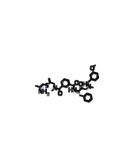 C=C(CN(C)C(=O)c1cccc(C(=O)N[C@@H](Cc2ccccc2)[C@H](O)CN(C)Cc2cccc(OC)c2)c1)S/C=C(/C)N